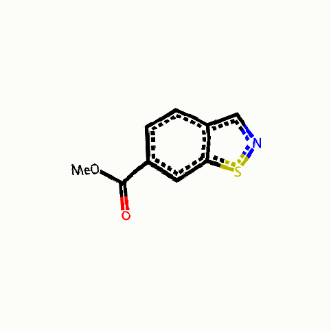 COC(=O)c1ccc2cnsc2c1